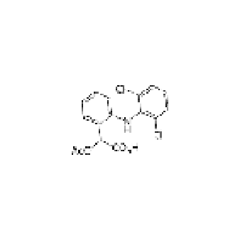 CC(=O)OC(C(=O)O)c1ccccc1Nc1c(Cl)cccc1Cl